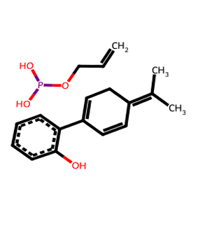 C=CCOP(O)O.CC(C)=C1C=CC(c2ccccc2O)=CC1